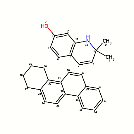 CC1(C)C=Cc2ccc(O)cc2N1.c1ccc2c(c1)ccc1c3c(ccc12)CCCC3